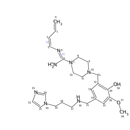 C=C/C=C\N=C(/N)N1CCN(Cc2cc(CNCCCn3ccnc3)cc(OC)c2O)CC1